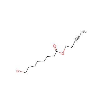 CCCCC#CCCOC(=O)CCCCCCCBr